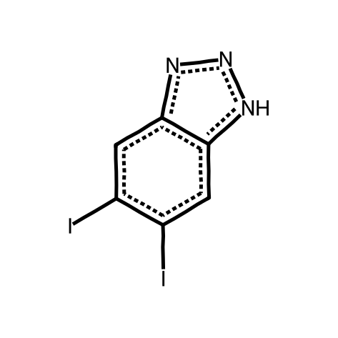 Ic1cc2nn[nH]c2cc1I